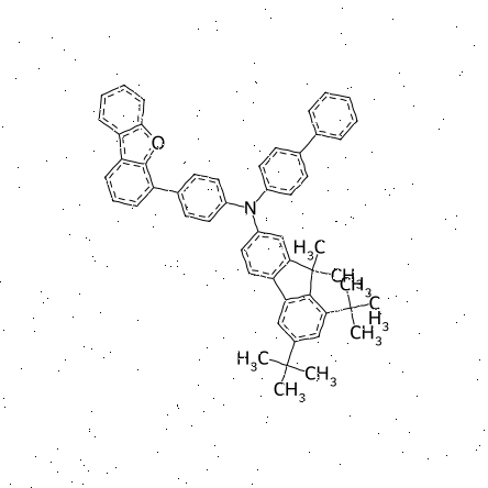 CC(C)(C)c1cc2c(c(C(C)(C)C)c1)C(C)(C)c1cc(N(c3ccc(-c4ccccc4)cc3)c3ccc(-c4cccc5c4oc4ccccc45)cc3)ccc1-2